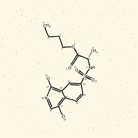 CCCCOC(=O)[C@H](C)NS(=O)(=O)c1ccc2c(Cl)cnc(Cl)c2c1